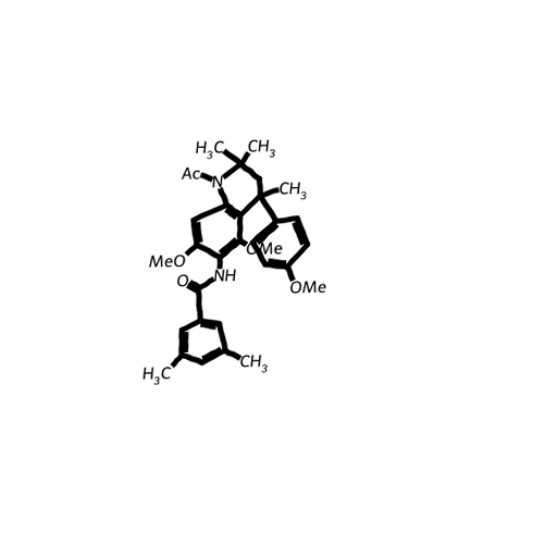 COc1ccc(C2(C)CC(C)(C)N(C(C)=O)c3cc(OC)c(NC(=O)c4cc(C)cc(C)c4)c(OC)c32)cc1